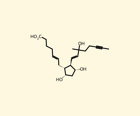 CC#CCCC(C)(O)C=C[C@@H]1[C@@H](CC=CCCCC(=O)O)[C@@H](O)C[C@H]1O